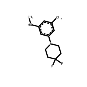 CNc1cc(C)cc(N2CCC(F)(F)CC2)c1